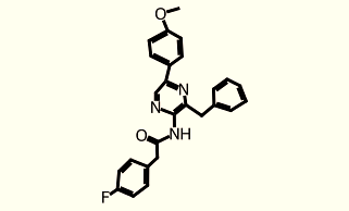 COc1ccc(-c2cnc(NC(=O)Cc3ccc(F)cc3)c(Cc3ccccc3)n2)cc1